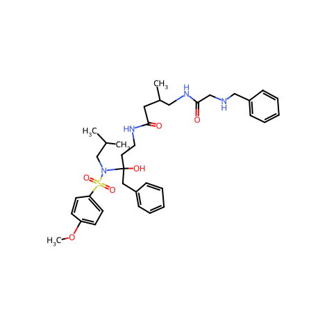 COc1ccc(S(=O)(=O)N(CC(C)C)C(O)(CCNC(=O)CC(C)CNC(=O)CNCc2ccccc2)Cc2ccccc2)cc1